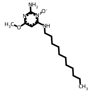 CCCCCCCCCCCNc1cc(OC)nc(N)[n+]1[O-]